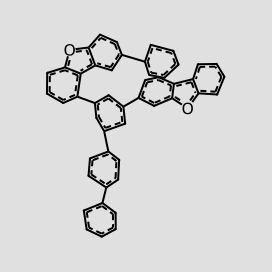 c1ccc(-c2ccc(-c3cc(-c4ccc5c(c4)oc4ccccc45)cc(-c4cccc5oc6ccc(-c7ccccc7)cc6c45)c3)cc2)cc1